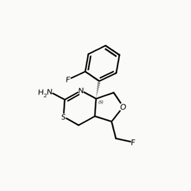 NC1=N[C@@]2(c3ccccc3F)COC(CF)C2CS1